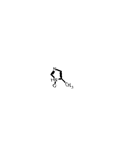 CC1=CN=C[NH+]1[O-]